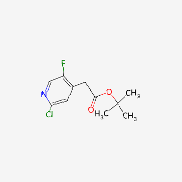 CC(C)(C)OC(=O)Cc1cc(Cl)ncc1F